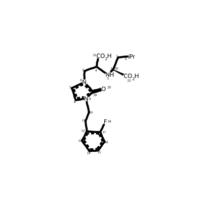 CC(C)C[C@H](NC(Cn1ccn(CCc2ccccc2F)c1=O)C(=O)O)C(=O)O